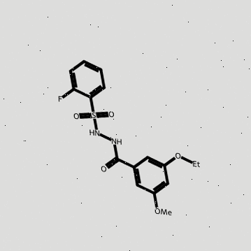 CCOc1cc(OC)cc(C(=O)NNS(=O)(=O)c2ccccc2F)c1